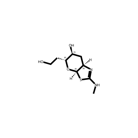 CNC1=N[C@@H]2C[C@H](O)[C@@H](CCO)O[C@@H]2S1